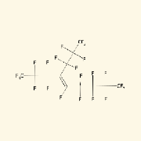 FC(=C(C(F)(F)C(F)(F)C(F)(F)F)C(F)(F)C(F)(F)C(F)(F)F)C(F)(F)C(F)(F)C(F)(F)C(F)(F)F